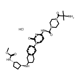 COC(=O)N[C@H]1CC[C@H](NC2CCc3cc(-n4ccc(NC(=O)N5CCN(C(=O)C(C)(C)N)CC5)nc4=O)ccc3C2)C1.Cl